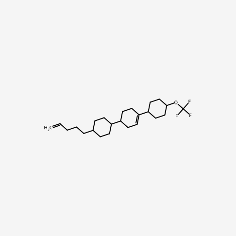 C=CCCCC1CCC(C2CC=C(C3CCC(OC(F)(F)F)CC3)CC2)CC1